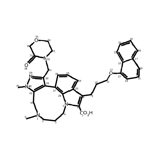 CN1CCCn2c(C(=O)O)c(CCCOc3cccc4ccccc34)c3cccc(c32)-c2c(CN3CCOCC3=O)nn(C)c2C1